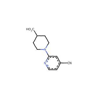 N#Cc1ccnc(N2CCC(C(=O)O)CC2)c1